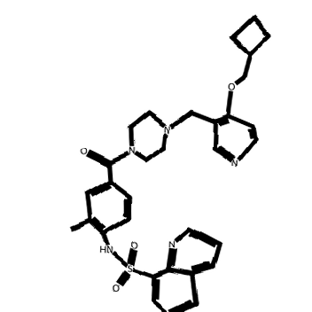 Cc1cc(C(=O)N2CCN(Cc3cnccc3OCC3CCC3)CC2)ccc1NS(=O)(=O)c1cccc2cccnc12